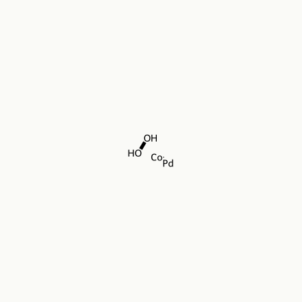 OO.[Co].[Pd]